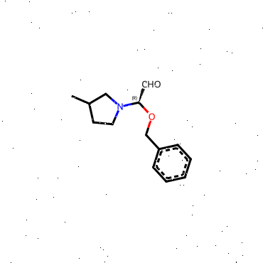 CC1CCN([C@@H](C=O)OCc2ccccc2)C1